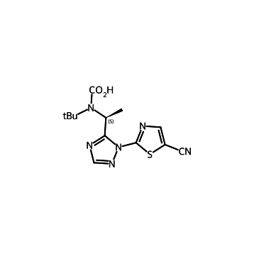 C[C@@H](c1ncnn1-c1ncc(C#N)s1)N(C(=O)O)C(C)(C)C